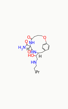 CC(C)CCNC[C@@H](O)[C@@H]1Cc2ccc(cc2)OCCCC(=O)N[C@@H](C(N)=O)C(=O)N1